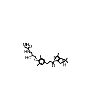 Cc1cc(CCC(=O)n2nc(C)c3c2C[C@H]2C3C2(C)C)cc(C)c1OCC(O)CNC(=O)CO